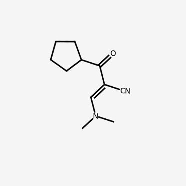 CN(C)C=C(C#N)C(=O)C1CCCC1